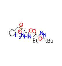 CCC(NC(=O)C(N)CS(=O)(=O)Cc1ccccc1)C(=O)c1nnc(C(C)(C)C)o1